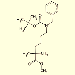 COC(=O)C(C)(C)CCCCN(Cc1ccccc1)C(=O)OC(C)(C)C